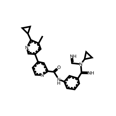 Cc1cc(-c2ccnc(C(=O)Nc3cccc(C(=N)N(C=N)C4CC4)c3)c2)cnc1C1CC1